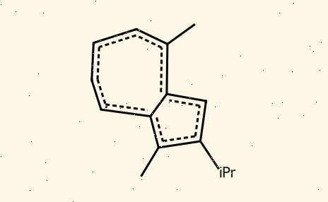 Cc1ccccc2c(C)c(C(C)C)cc1-2